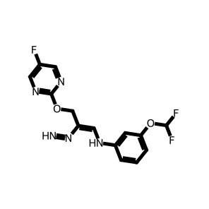 N=N/C(=C\Nc1cccc(OC(F)F)c1)COc1ncc(F)cn1